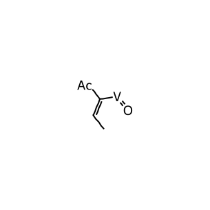 CC=[C]([V]=[O])C(C)=O